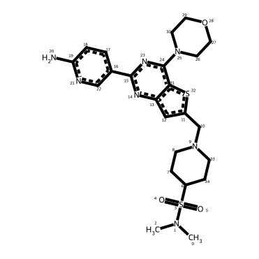 CN(C)S(=O)(=O)C1CCN(Cc2cc3nc(-c4ccc(N)nc4)nc(N4CCOCC4)c3s2)CC1